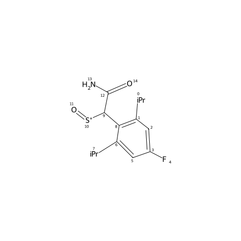 CC(C)c1cc(F)cc(C(C)C)c1C([S+]=O)C(N)=O